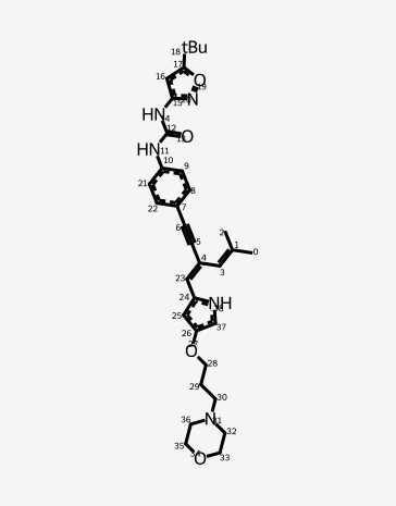 CC(C)=C/C(C#Cc1ccc(NC(=O)Nc2cc(C(C)(C)C)on2)cc1)=C\c1cc(OCCCN2CCOCC2)c[nH]1